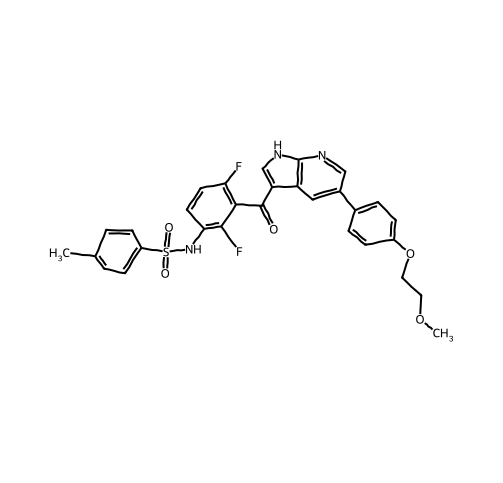 COCCOc1ccc(-c2cnc3[nH]cc(C(=O)c4c(F)ccc(NS(=O)(=O)c5ccc(C)cc5)c4F)c3c2)cc1